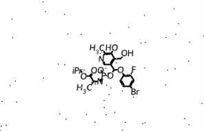 Cc1ncc(C(Oc2ccc(Br)cc2F)O[P+]([O-])=N[C@@H](C)C(=O)OC(C)C)c(CO)c1O